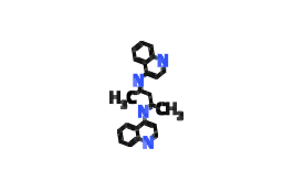 CC(CC(C)=Nc1ccnc2ccccc12)=Nc1ccnc2ccccc12